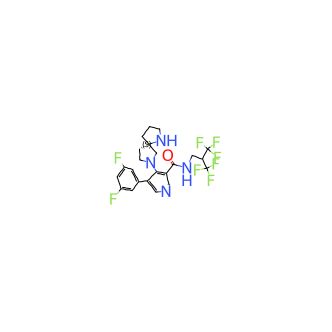 O=C(NCC(C(F)(F)F)C(F)(F)F)c1cncc(-c2cc(F)cc(F)c2)c1N1CC[C@@]2(CCCN2)C1